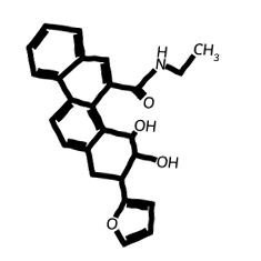 CCNC(=O)c1cc2ccccc2c2ccc3c(c12)C(O)C(O)C(c1ccco1)C3